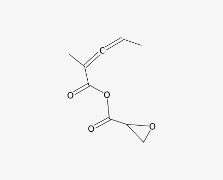 CC=C=C(C)C(=O)OC(=O)C1CO1